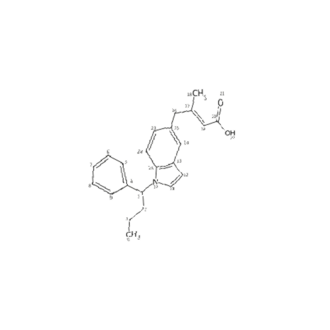 CCCC(c1ccccc1)n1ccc2cc(CC(C)=CC(=O)O)ccc21